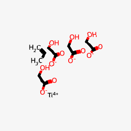 C=CC.O=C([O-])CO.O=C([O-])CO.O=C([O-])CO.O=C([O-])CO.[Ti+4]